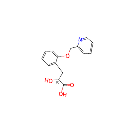 O=C(O)[C@H](O)Cc1ccccc1OCc1ccccn1